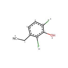 N#CCc1ccc(F)c(O)c1F